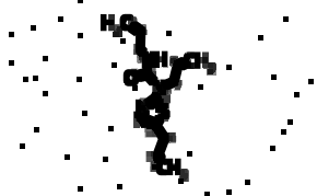 C=CCNC(=O)N(CC=C)c1nnc(CC=C)s1